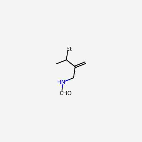 C=C(CNC=O)C(C)CC